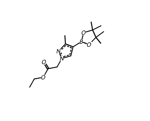 CCOC(=O)Cn1cc(B2OC(C)(C)C(C)(C)O2)c(C)n1